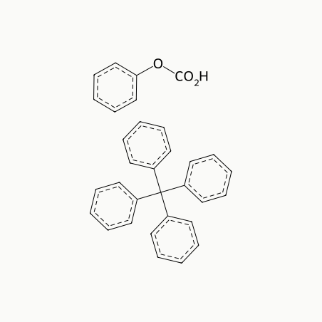 O=C(O)Oc1ccccc1.c1ccc(C(c2ccccc2)(c2ccccc2)c2ccccc2)cc1